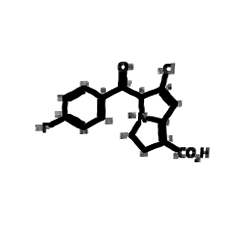 O=C(O)C1=C2C=C(Cl)C(C(=O)c3ccc(F)cc3)N2CC1